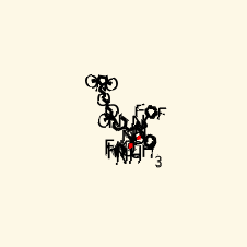 C[C@H](O)C(=O)N(C[C@@H]1CNC[C@@H]1F)[C@@H](c1nc(-c2cc(F)ccc2F)cn1Cc1ccccc1)C1CCN(C(=O)OCCOCCN2C(=O)C=CC2=O)CC1